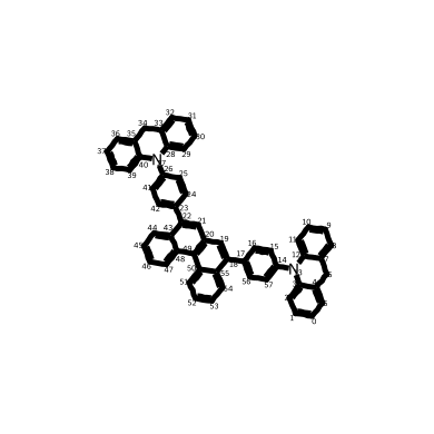 c1ccc2c(c1)Cc1ccccc1N2c1ccc(-c2cc3cc(-c4ccc(N5c6ccccc6Cc6ccccc65)cc4)c4ccccc4c3c3ccccc23)cc1